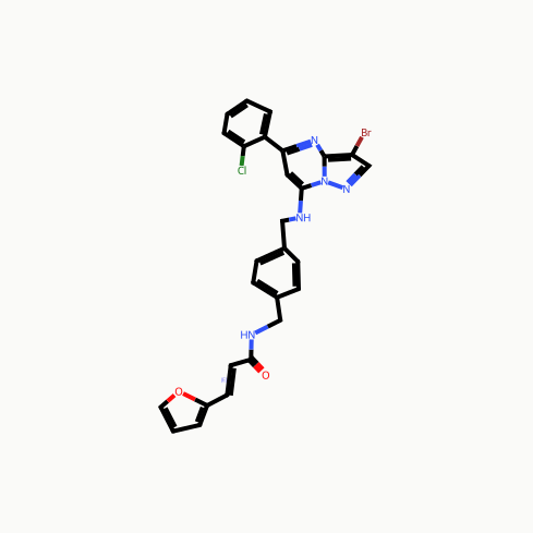 O=C(/C=C/c1ccco1)NCc1ccc(CNc2cc(-c3ccccc3Cl)nc3c(Br)cnn23)cc1